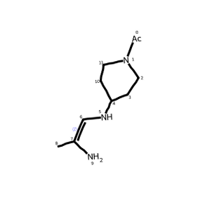 CC(=O)N1CCC(N/C=C(/C)N)CC1